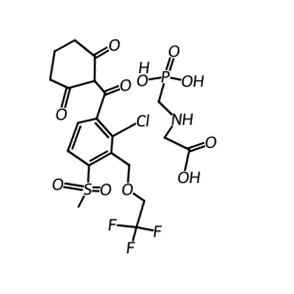 CS(=O)(=O)c1ccc(C(=O)C2C(=O)CCCC2=O)c(Cl)c1COCC(F)(F)F.O=C(O)CNCP(=O)(O)O